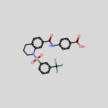 O=C(O)c1ccc(NC(=O)c2ccc3c(c2)N(S(=O)(=O)c2cccc(C(F)(F)F)c2)CCC3)cc1